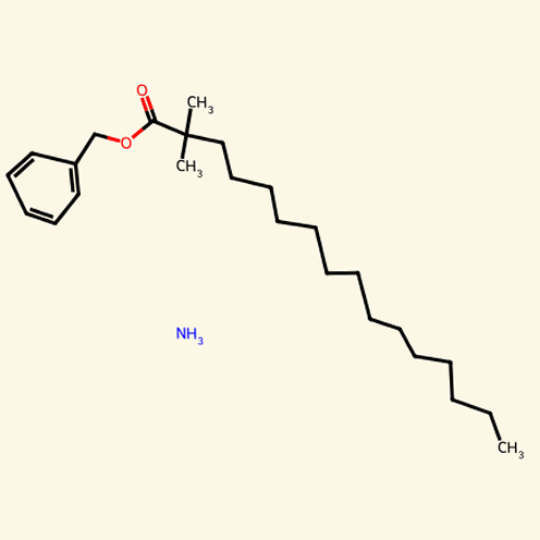 CCCCCCCCCCCCCCC(C)(C)C(=O)OCc1ccccc1.N